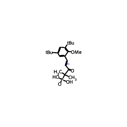 COc1c(/C=C/C(=O)C(C)(C)P(=O)(O)O)cc(C(C)(C)C)cc1C(C)(C)C